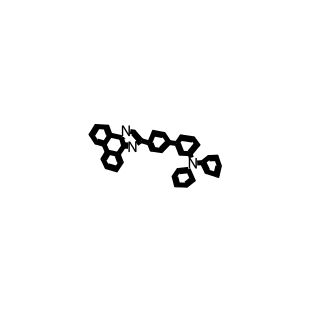 c1ccc(N(c2ccccc2)c2cccc(-c3ccc(-c4cnc5c6ccccc6c6ccccc6c5n4)cc3)c2)cc1